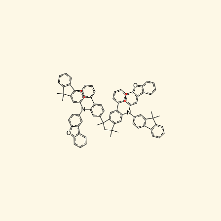 CC1(C)CC(C)(c2ccc(-c3ccccc3)c(N(c3ccc4c(c3)C(C)(C)c3ccccc3-4)c3ccc4oc5ccccc5c4c3)c2)c2cc(-c3ccccc3)c(N(c3ccc4c(c3)C(C)(C)c3ccccc3-4)c3ccc4oc5ccccc5c4c3)cc21